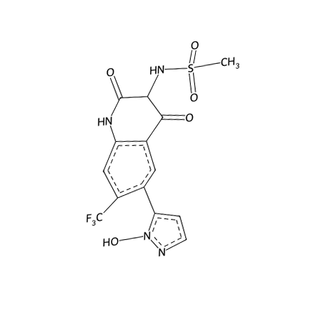 CS(=O)(=O)NC1C(=O)Nc2cc(C(F)(F)F)c(-c3ccnn3O)cc2C1=O